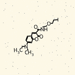 CCN(CC)c1ccc2cc(C(=O)NCCOCCI)c(=O)oc2c1